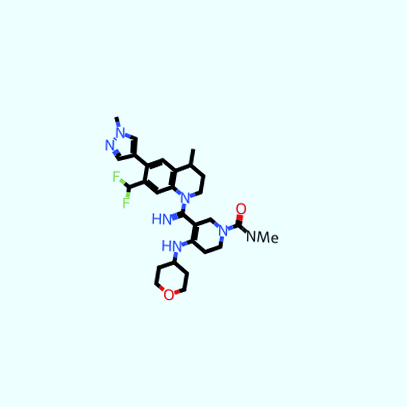 CNC(=O)N1CCC(NC2CCOCC2)=C(C(=N)N2CCC(C)c3cc(-c4cnn(C)c4)c(C(F)F)cc32)C1